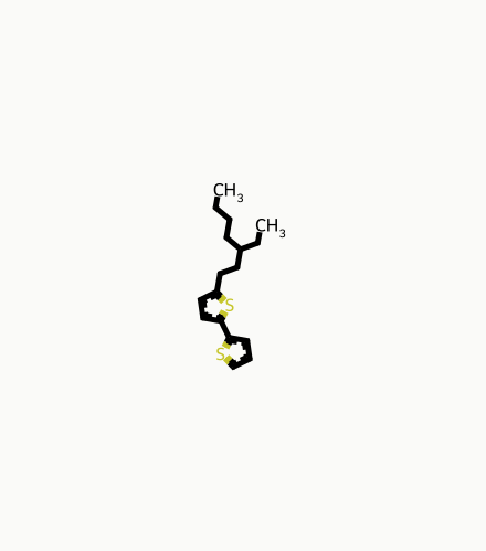 CCCCC(CC)CCc1ccc(-c2cccs2)s1